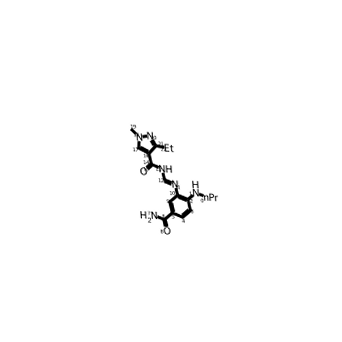 CCCNc1ccc(C(N)=O)cc1/N=C/NC(=O)c1cn(C)nc1CC